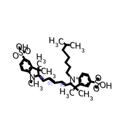 CC(C)CCCCC[N+]1=C(/C=C/C=C/C=C2/N(C)c3ccc(S(=O)(=O)O)cc3C2(C)C)C(C)(C)c2cc(S(=O)(=O)O)ccc21